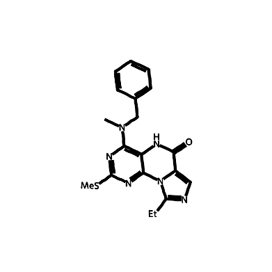 CCc1ncc2c(=O)[nH]c3c(N(C)Cc4ccccc4)nc(SC)nc3n12